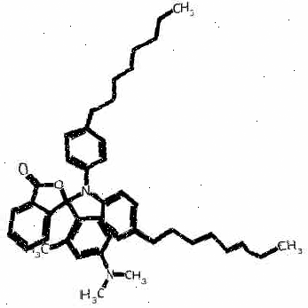 CCCCCCCCc1ccc(N(c2ccc(CCCCCCCC)cc2)C2(c3ccc(N(C)C)cc3C)OC(=O)c3ccccc32)cc1